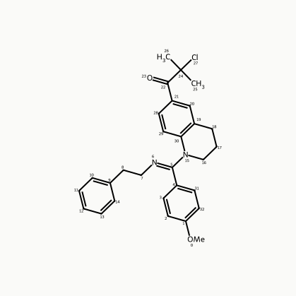 COc1ccc(C(=NCCc2ccccc2)N2CCCc3cc(C(=O)C(C)(C)Cl)ccc32)cc1